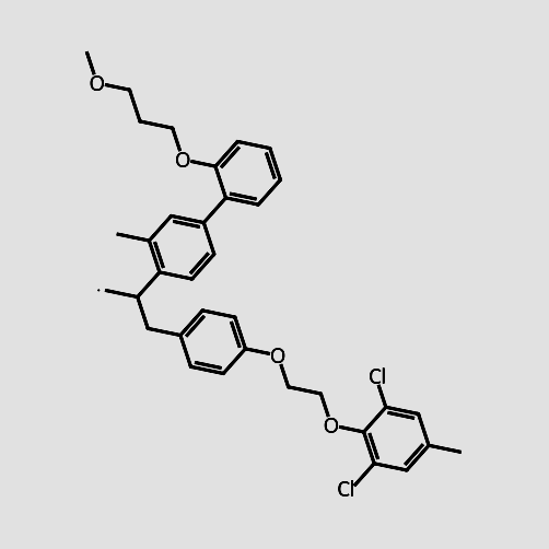 [CH2]C(Cc1ccc(OCCOc2c(Cl)cc(C)cc2Cl)cc1)c1ccc(-c2ccccc2OCCCOC)cc1C